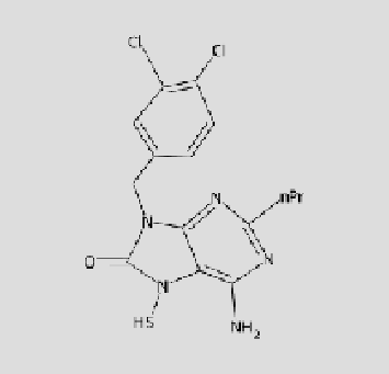 CCCc1nc(N)c2c(n1)n(Cc1ccc(Cl)c(Cl)c1)c(=O)n2S